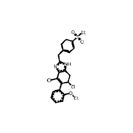 CCOc1ccccc1C1=C(Cl)c2nc(CC3=CC=C(S(=O)(=O)CC)CC3)[nH]c2CC1Cl